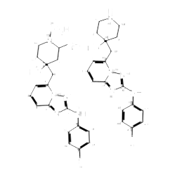 CC(C)(C)C1CC(O)(Cc2cccc3nc(Nc4ccc(F)cc4)nn23)CCN1C(=O)O.OC1(Cc2cccc3nc(Nc4ccc(F)cc4)nn23)CCNCC1